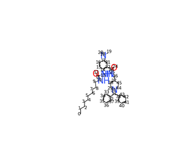 CCCCCCCCCCNC(=O)Nc1ccc(N(C)C)cc1C(=O)NCC1CCN(C(c2ccccc2)c2ccccc2)CC1